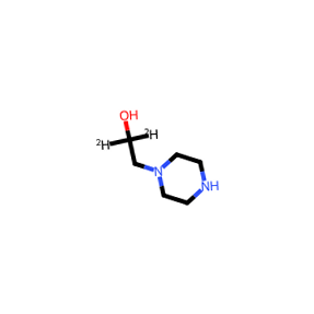 [2H]C([2H])(O)CN1CCNCC1